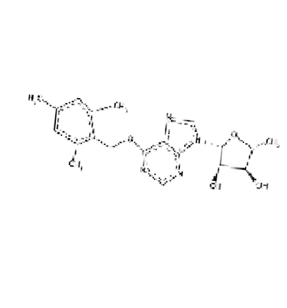 Cc1cc(C)c(COc2ncnc3c2ncn3[C@@H]2O[C@H](C)[C@@H](O)[C@H]2O)c(C)c1